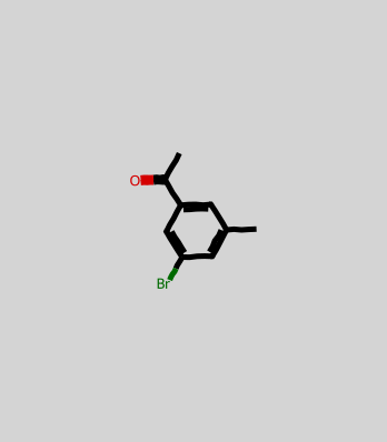 CC(=O)c1cc(C)cc(Br)c1